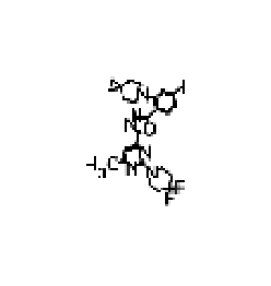 Cc1cc(-c2nnc(-c3ccc(I)cc3N3CCC4(CC3)CC4)o2)nc(N2CCC(F)(F)CC2)n1